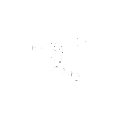 CC(CN1C[C@@H]2C[C@@](O)(Cc3ccccc3)C[C@@H]2C1)c1cnc(OCc2ccccc2)cn1